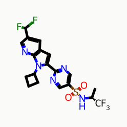 C[C@H](NS(=O)(=O)c1cnc(-c2cc3cc(C(F)F)cnc3n2C2CCC2)nc1)C(F)(F)F